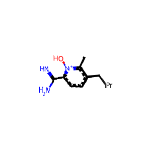 Cc1c(CC(C)C)ccc(C(=N)N)[n+]1O